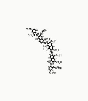 COc1ccc(N=Nc2c(S(=O)(=O)O)cc3c(S(=O)(=O)O)c(N=Nc4c(S(=O)(=O)O)cc5cc(S(=O)(=O)O)c(N=Nc6ccc7c(O)c(N=Nc8ccc(OC)cc8S(=O)(=O)O)c(SOOO)cc7c6S(=O)(=O)O)c(O)c5c4N)ccc3c2O)c(SOOO)c1